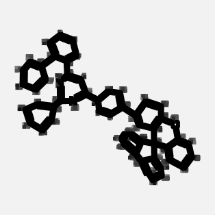 C1=CC(c2cc(-c3ccccc3-c3ccccc3)nc(-c3ccccc3)n2)CC=C1c1ccc2c(c1)C1(c3ccccc3O2)c2ccccc2-c2ccccc21